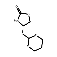 O=C1N[C@@H](CC2OCCCO2)CO1